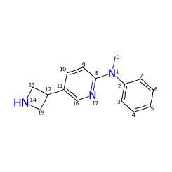 CN(c1ccccc1)c1ccc(C2CNC2)cn1